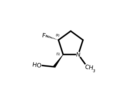 CN1CC[C@@H](F)[C@@H]1CO